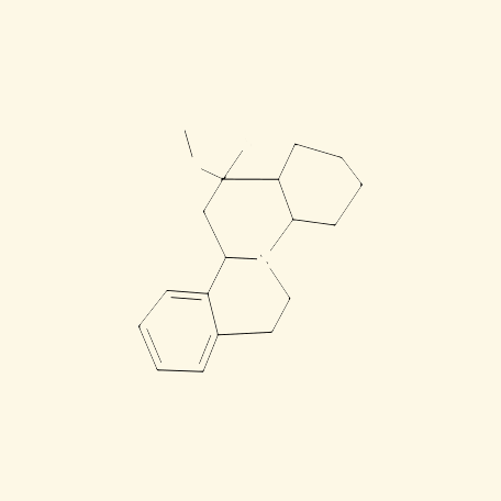 CSC1(S)CC2c3ccccc3CCN2C2CCCCC21